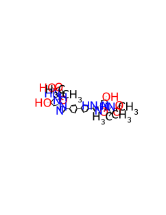 COC(=O)N[C@H](C(=O)N1C[C@@H](O)C[C@H]1c1ncc(-c2ccc(-c3ccc(-c4cnc([C@@H]5C[C@H](O)CN5C(=O)[C@@H](NC(=O)O)C(C)C)[nH]4)cc3)cc2)[nH]1)C(C)C